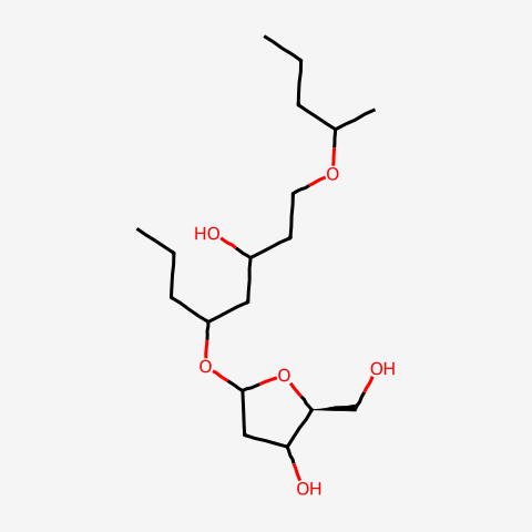 CCCC(C)OCCC(O)CC(CCC)OC1CC(O)[C@H](CO)O1